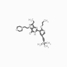 CCCOc1ncc(C#C[Si](C)(C)C)cc1-c1nc2c(CC)nn(CCN3CCOCC3)c2c(=O)[nH]1